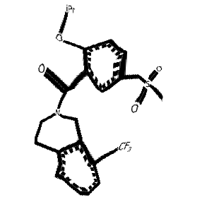 CC(C)Oc1ccc(S(C)(=O)=O)cc1C(=O)N1CCc2cccc(C(F)(F)F)c2C1